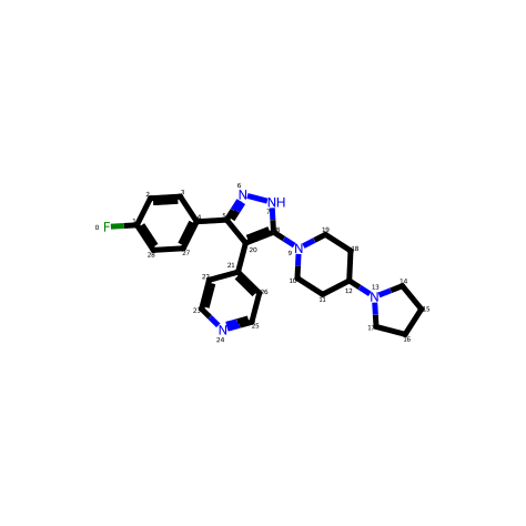 Fc1ccc(-c2n[nH]c(N3CCC(N4CCCC4)CC3)c2-c2ccncc2)cc1